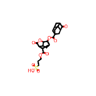 O=C1C2CC3CC1CC(C(=O)OC1C4CC5C1OC(=O)C5C4C(=O)OCCCS(=O)(=O)O)(C3)C2